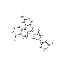 CNc1ncc2cc(-c3ccc(-c4cncc(C)n4)cc3Cl)c(=O)n(C3CCSC(=O)C3=N)c2n1